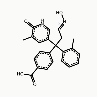 Cc1ccccc1C(C/C=N/O)(c1ccc(C(=O)O)cc1)c1c[nH]c(=O)c(C)c1